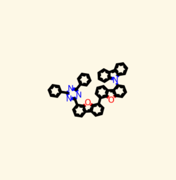 c1ccc(-c2nc(-c3ccccc3)nc(-c3cccc4c3oc3c(-c5cccc6c5oc5cccc(-n7c8ccccc8c8ccccc87)c56)cccc34)n2)cc1